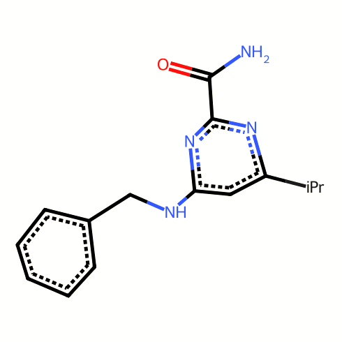 CC(C)c1cc(NCc2ccccc2)nc(C(N)=O)n1